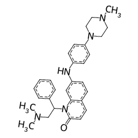 CN(C)CC(c1ccccc1)n1c(=O)ccc2ccc(Nc3ccc(N4CCN(C)CC4)cc3)cc21